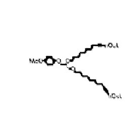 CCCCCCCCC#CCCCCCCCCOC[C@H](COc1ccc(OC)cc1)OCCCCCCCCC#CCCCCCCCC